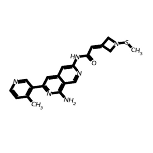 CSN1CC(=CC(=O)Nc2cc3cc(-c4cnccc4C)nc(N)c3cn2)C1